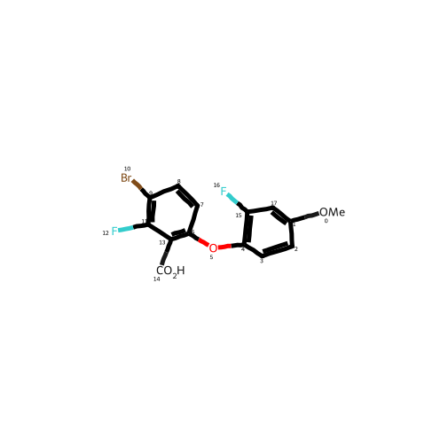 COc1ccc(Oc2ccc(Br)c(F)c2C(=O)O)c(F)c1